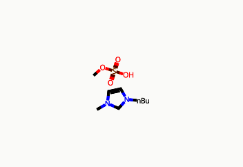 CCCCN1C=CN(C)C1.COS(=O)(=O)O